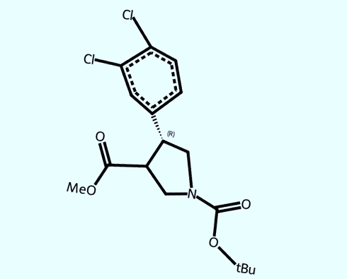 COC(=O)C1CN(C(=O)OC(C)(C)C)C[C@H]1c1ccc(Cl)c(Cl)c1